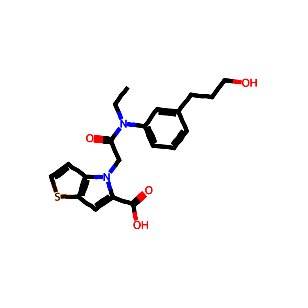 CCN(C(=O)Cn1c(C(=O)O)cc2sccc21)c1cccc(CCCO)c1